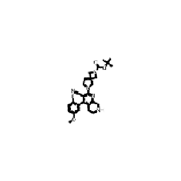 COc1ccc(F)c(-c2c(C#N)c(N3CCC4(CN(C(=O)OC(C)(C)C)C4)C3)nc3c2CCNC3)c1